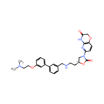 CN(C)CCOc1cccc(-c2cccc(CNCC[C@H]3CN(c4ccc5c(n4)NC(=O)CO5)C(=O)O3)c2)c1